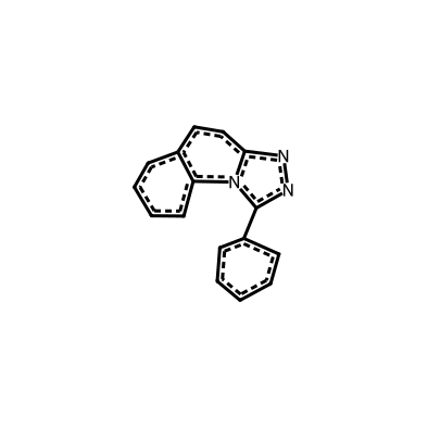 c1ccc(-c2nnc3ccc4ccccc4n23)cc1